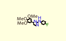 COc1cc(-c2ccnc(Nc3ccc(F)cc3)n2)cc(OC)c1OC